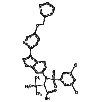 CC(C)(C)C(C(=O)O)N(c1ccc2c(ccn2-c2ccc(OCc3ccccc3)nn2)c1)S(=O)(=O)c1cc(Cl)cc(Cl)c1